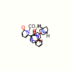 O=C(O)Cn1c(-c2nc3ccccc3n(C3C[C@H]4CC[C@@H](C3)N4C3C[C@H]4CCCC[C@@H](C3)C4)c2=O)cccc1=O